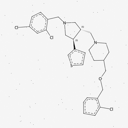 Clc1ccc(CN2C[C@H](CN3CCC(COCc4ccccc4Cl)CC3)[C@@H](c3ccsc3)C2)c(Cl)c1